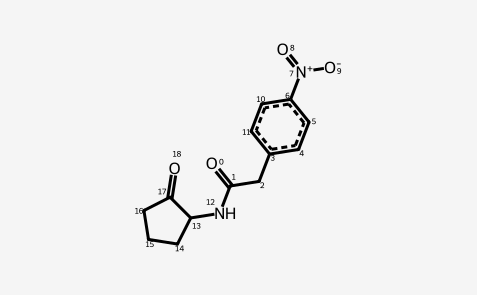 O=C(Cc1ccc([N+](=O)[O-])cc1)NC1CCCC1=O